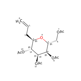 C=CC[C@H]1O[C@H](COC(C)=O)[C@@H](OC(C)=O)[C@@H](OC(C)=O)[C@@H]1OC(C)=O